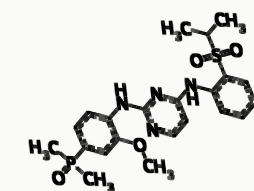 COc1cc(P(C)(C)=O)ccc1Nc1nccc(Nc2ccccc2S(=O)(=O)C(C)C)n1